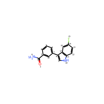 NC(=O)c1cccc(-c2c[nH]c3ccc(F)cc23)c1